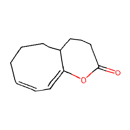 O=C1CCC2CCCC=CC=C2O1